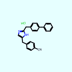 Cl.N#Cc1ccc(Cc2cnc(Cc3ccc(-c4ccccc4)cc3)[nH]2)cc1